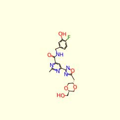 Cc1nc(C(=O)NCc2ccc(F)c(O)c2)cc(-c2noc(C[C@H]3CO[C@H](CO)CO3)n2)n1